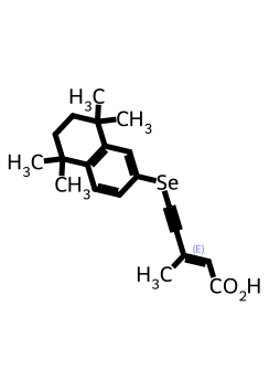 C/C(C#C[Se]c1ccc2c(c1)C(C)(C)CCC2(C)C)=C\C(=O)O